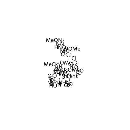 CCCCCC(C)OC(=O)COc1ccc(Cl)c2cccnc12.COC(=O)c1ccc(CNS(C)(=O)=O)cc1S(=O)(=O)NC(=O)Nc1nc(OC)cc(OC)n1.COC(=O)c1ccc(I)cc1S(=O)(=O)[N-]C(=O)Nc1nc(C)nc(OC)n1.Cc1nn(C)c(O)c1C(=O)c1ccc(C(F)(F)F)cc1S(C)(=O)=O.[Na+]